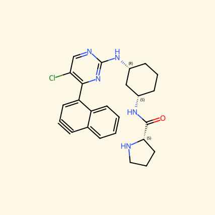 O=C(N[C@H]1CCC[C@@H](Nc2ncc(Cl)c(-c3cc#cc4ccccc34)n2)C1)[C@@H]1CCCN1